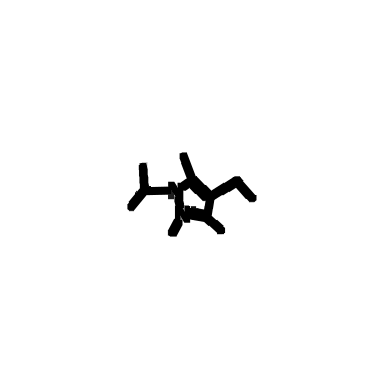 CCc1c(C)n(C(C)C)[n+](C)c1C